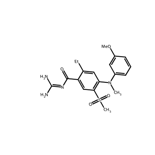 CCc1cc(N(C)c2cccc(OC)c2)c(S(C)(=O)=O)cc1C(=O)N=C(N)N